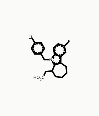 O=C(O)CC1CCCCc2c1n(Cc1ccc(Cl)cc1)c1ccc(F)cc21